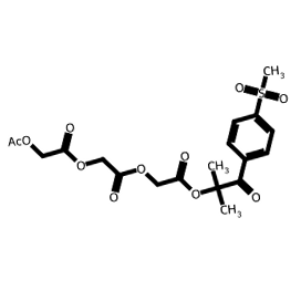 CC(=O)OCC(=O)OCC(=O)OCC(=O)OC(C)(C)C(=O)c1ccc(S(C)(=O)=O)cc1